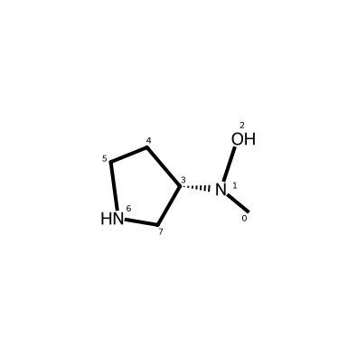 CN(O)[C@H]1CCNC1